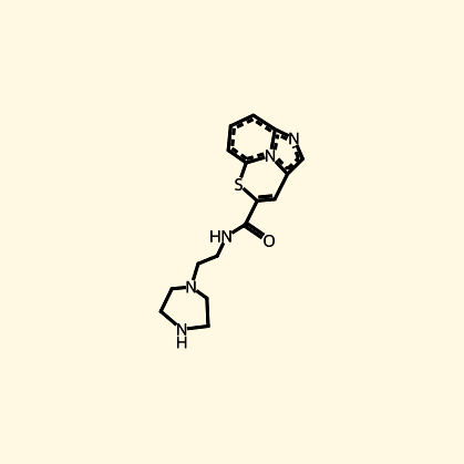 O=C(NCCN1CCNCC1)C1=Cc2cnc3cccc(n23)S1